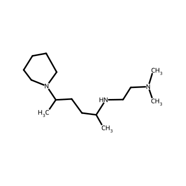 CC(CCC(C)N1CCCCC1)NCCN(C)C